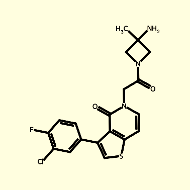 CC1(N)CN(C(=O)Cn2ccc3scc(-c4ccc(F)c(Cl)c4)c3c2=O)C1